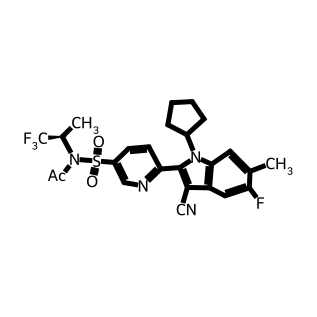 CC(=O)N([C@H](C)C(F)(F)F)S(=O)(=O)c1ccc(-c2c(C#N)c3cc(F)c(C)cc3n2C2CCCC2)nc1